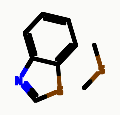 CSC.c1ccc2scnc2c1